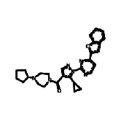 O=C(c1cnn(-c2nccc(-c3cc4ccccc4o3)n2)c1C1CC1)N1CCN(C2CCCC2)CC1